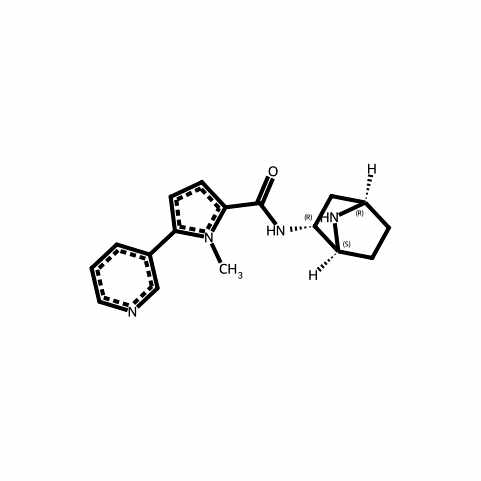 Cn1c(C(=O)N[C@@H]2C[C@H]3CC[C@@H]2N3)ccc1-c1cccnc1